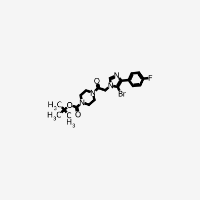 CC(C)(C)OC(=O)N1CCN(C(=O)Cn2cnc(-c3ccc(F)cc3)c2Br)CC1